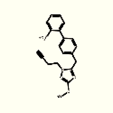 C#CCCn1nc(OCCC)nc1Cc1ccc(-c2ccccc2C(=O)O)cc1